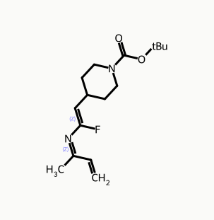 C=C/C(C)=N\C(F)=C\C1CCN(C(=O)OC(C)(C)C)CC1